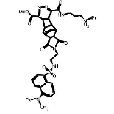 COC(=O)C1=NN=C(C(=O)NCCC[SiH2]C(C)C)C2C1C1C3C=CC(C4C(=O)N(CCNS(=O)(=O)c5cccc6c(N(C)C)cccc56)C(=O)C34)C21